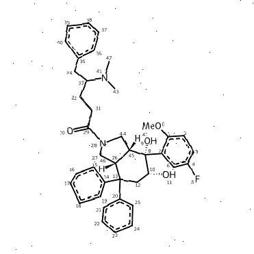 COc1ccc(F)cc1[C@@]1(O)[C@H](O)CC(c2ccccc2)(c2ccccc2)[C@@H]2CN(C(=O)CCC(Cc3ccccc3)N(C)C)C[C@@H]21